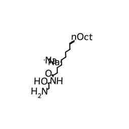 CCCCCCCCC=CCCCCCCCC(=O)NC(O)CN.[Na].[Na]